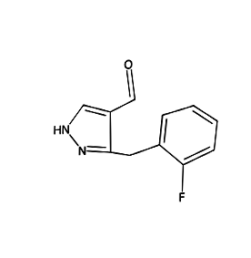 O=Cc1c[nH]nc1Cc1ccccc1F